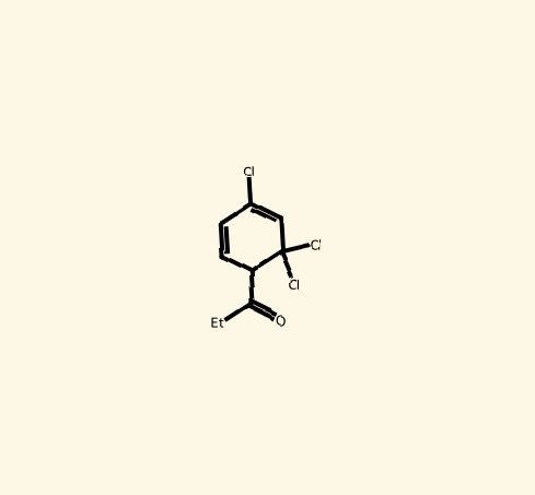 CCC(=O)C1C=CC(Cl)=CC1(Cl)Cl